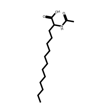 CCCCCCCCCCCCC(NC(C)=O)C(=O)O